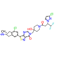 CNC1Cc2cc(-c3snc4c(=O)n(CC5(O)CCN(C(=O)CC(C(F)F)n6ccc(Cl)n6)CC5)cnc34)cc(Cl)c2C1